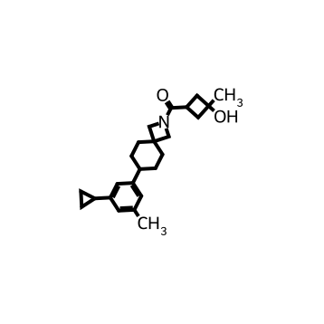 Cc1cc(C2CC2)cc(C2CCC3(CC2)CN(C(=O)C2CC(C)(O)C2)C3)c1